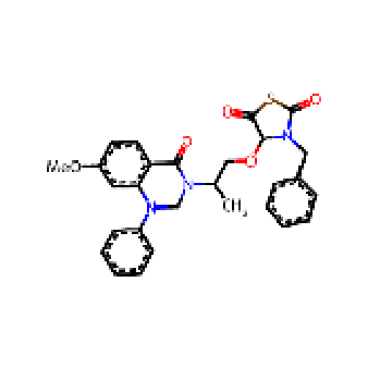 COc1ccc2c(c1)N(c1ccccc1)CN(C(C)COC1C(=O)SC(=O)N1Cc1ccccc1)C2=O